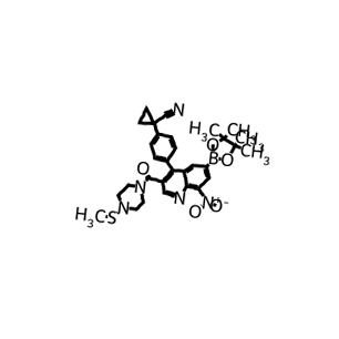 CSN1CCN(C(=O)c2cnc3c([N+](=O)[O-])cc(B4OC(C)(C)C(C)(C)O4)cc3c2-c2ccc(C3(C#N)CC3)cc2)CC1